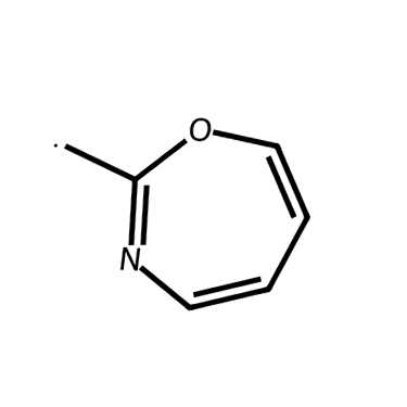 [CH2]C1=NC=CC=CO1